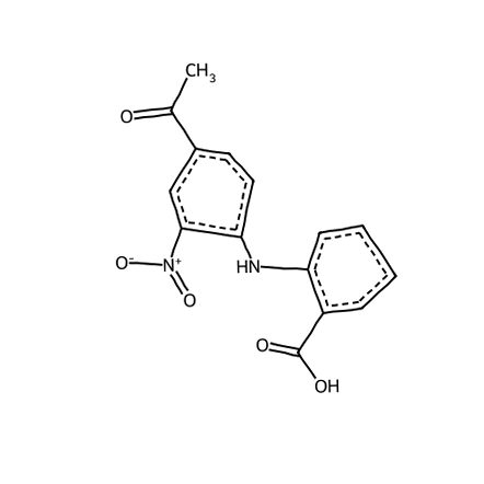 CC(=O)c1ccc(Nc2ccccc2C(=O)O)c([N+](=O)[O-])c1